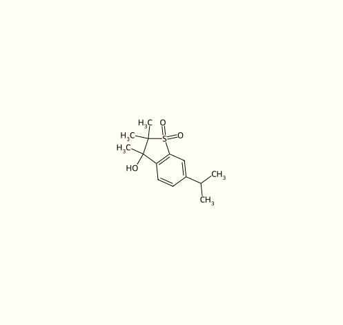 CC(C)c1ccc2c(c1)S(=O)(=O)C(C)(C)C2(C)O